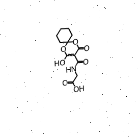 O=C(O)CNC(=O)C1=C(O)OC2(CCCCC2)OC1=O